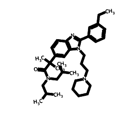 CCc1cccc(-c2nc3ccc(C(C)(C)C(=O)N(CC(C)C)CC(C)C)cc3n2CCCN2CCCCC2)c1